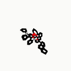 c1ccc(-n2c3ccccc3c3c(-c4ccccc4N(c4ccc(-c5cccc6c5ccc5ccccc56)cc4)c4ccccc4-c4cccc5cccc(C6CCCCC6)c45)cccc32)cc1